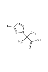 CC(C)(C(=O)O)n1ccc(I)n1